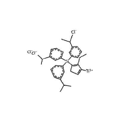 CCC1=C([Si](c2cccc(C(C)C)c2)(c2cccc(C(C)C)c2)c2cccc(C(C)C)c2)CC=[C]1[Ti+3].[Cl-].[Cl-].[Cl-]